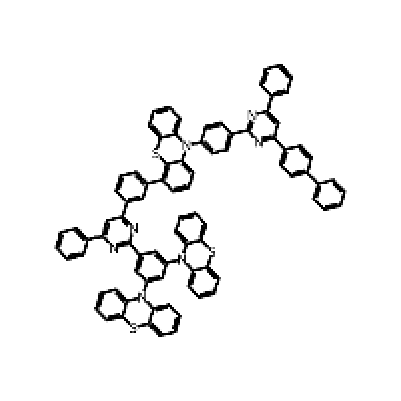 c1ccc(-c2ccc(-c3cc(-c4ccccc4)nc(-c4ccc(N5c6ccccc6Sc6c(-c7cccc(-c8cc(-c9ccccc9)nc(-c9cc(N%10c%11ccccc%11Sc%11ccccc%11%10)cc(N%10c%11ccccc%11Sc%11ccccc%11%10)c9)n8)c7)cccc65)cc4)n3)cc2)cc1